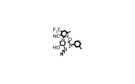 Cc1cccc(N(C)C(=O)[C@@H]2[C@H](N=[N+]=[N-])[C@@H](O)CN2c2nc(C)cc(C(F)(F)F)c2C#N)c1